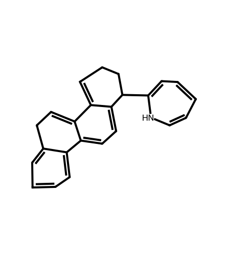 C1=CC=C(C2CCC=c3c2ccc2c3=CCc3ccccc3-2)NC=C1